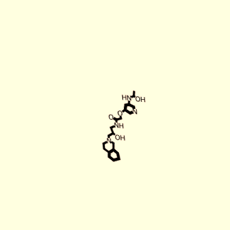 CC(O)Nc1cncc(OCC(=O)NCC(O)CN2CCc3ccccc3C2)c1